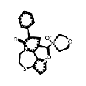 O=C(c1cc(-c2ccccc2)c(=O)n2c1-c1sccc1SCC2)[N+]1([O-])CCOCC1